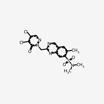 Cc1cc2cnc(Cn3ncc(Cl)c(Cl)c3=O)nc2cc1S(=O)(=O)N(C)C